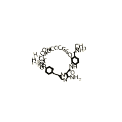 CNCc1cccc2c1OCCCCCC[C@](C)(O)CC(C)(C)S(=O)(=O)c1ccc(cc1)-c1cnc(N)c(n1)C(=O)N2